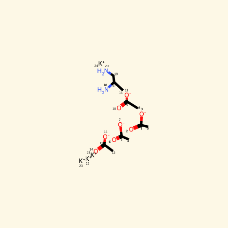 CC(=O)[O-].CC(=O)[O-].CC(=O)[O-].CC(=O)[O-].CC(N)CN.[K+].[K+].[K+].[K+]